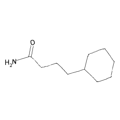 NC(=O)CCCC1CCCCC1